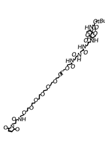 CC(C)(C)OC(=O)N[C@H]1CO[C@H]2[C@@H]1OC[C@@H]2NC(=O)CNC(=O)CNC(=O)CNC(=O)COCCOCCOCCOCCOCCOCCOCCOCCNC(=O)CCN1C(=O)C=CC1=O